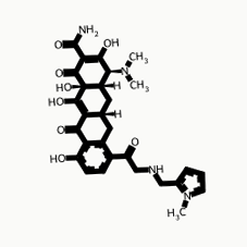 CN(C)[C@@H]1C(O)=C(C(N)=O)C(=O)[C@@]2(O)C(O)=C3C(=O)c4c(O)ccc(C(=O)CNCc5cccn5C)c4C[C@H]3C[C@@H]12